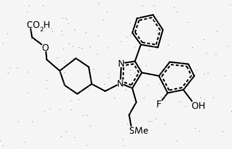 CSCCc1c(-c2cccc(O)c2F)c(-c2ccccc2)nn1CC1CCC(COCC(=O)O)CC1